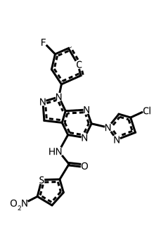 O=C(Nc1nc(-n2cc(Cl)cn2)nc2c1cnn2-c1cccc(F)c1)c1ccc([N+](=O)[O-])s1